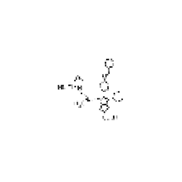 CN(CCN1CCOCC1)CCn1c(-c2ccc(OCc3ccccc3)cc2)c(C2CCCCC2)c2sc(C(=O)O)cc21.Cl.Cl